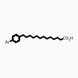 CC(=O)c1ccc(CCCCCCCCCCCCC(=O)O)cc1